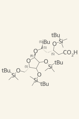 CC[C@H](C)[C@H](C[C@@H](CC(=O)O)O[Si](C)(C)C(C)(C)C)O[C@@H]1O[C@@H](CO[Si](C)(C)C(C)(C)C)C(O[Si](C)(C)C(C)(C)C)C1O[Si](C)(C)C(C)(C)C